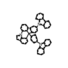 c1ccc2c(c1)-n1ccc3cccc(c31)C2(c1ccc(-n2c3ccccc3c3ccccc32)cc1)c1ccc(-n2c3ccccc3c3ccccc32)cc1